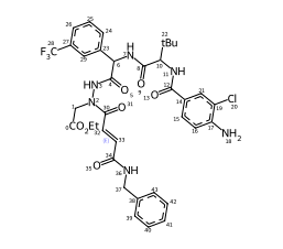 CCOC(=O)CN(NC(=O)C(NC(=O)C(NC(=O)c1ccc(N)c(Cl)c1)C(C)(C)C)c1cccc(C(F)(F)F)c1)C(=O)/C=C/C(=O)NCc1ccccc1